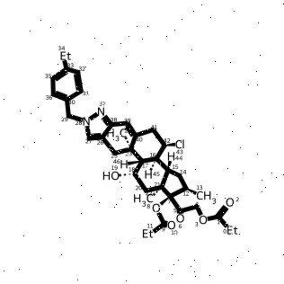 CCC(=O)OCC(=O)[C@@]1(OC(=O)CC)[C@H](C)C[C@H]2[C@H]3[C@H]([C@@H](O)C[C@@]21C)[C@@]1(C)Cc2cn(Cc4ccc(CC)cc4)nc2C=C1C[C@H]3Cl